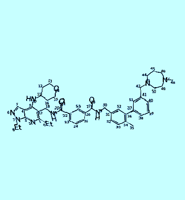 CCc1nc2c(cnn2CC)c(NC2CCOCC2)c1CNC(=O)c1cccc(C(=O)NCc2ccc(C)c(-c3cccc(CN4CCCN(C)CC4)c3)c2)c1